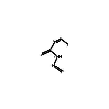 C=NNC(=C)/C=C\C